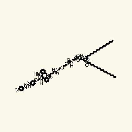 CCCCCCCCCCCCCCCCCC(=O)OCC(COP(=O)(O)OCCNC(=O)COCCOCCNC(=O)CCCC(=O)N1Cc2ccccc2/C(N=N)=C(/NCCOc2ccc3nc(/N=N/c4ccc(N(C)C)cc4)sc3c2)c2ccccc21)OC(=O)CCCCCCCCCCCCCCCCC